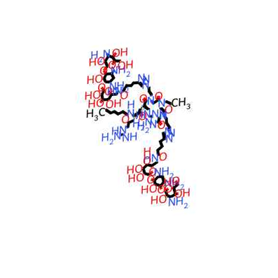 CCCCCCC(=O)N[C@@H](CCCNC(=N)N)C(=O)C[C@@H](CNC(=N)N)C(=O)N(CCCn1cc(CCCC(=O)NCC2OC(OC3C(N)CC(N)C(OC4OC(CO)C(O)C(N)C4O)C3O)C(O)C(O)C2O)nn1)CC(=O)N(CCC)CC(=O)N(CCCn1cc(CCCC(=O)NCC2OC(OC3C(N)CC(N)C(OC4OC(CO)C(O)C(N)C4O)C3O)C(O)C(O)C2O)nn1)CC(N)=O